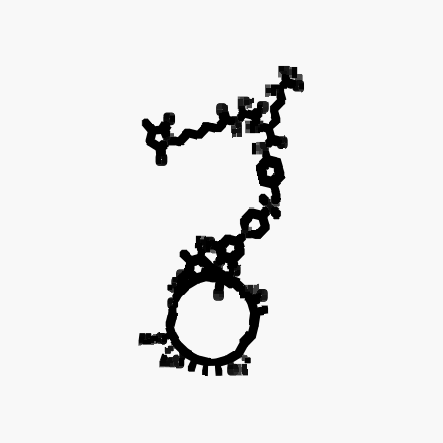 CO[C@H]1/C=C/O[C@@]2(C)Oc3c(C)c(O)c4c(=O)c(c5oc6cc(N7CCC([N+](C)(C)Cc8ccc(NC(=O)[C@H](CCCNC(N)=O)NC(=O)[C@@H](NC(=O)CCCCCN9C(=O)CC(C)C9=O)C(C)C)cc8)CC7)cc(O)c6nc-5c4c3C2=O)NC(=O)/C(C)=C\C=C\[C@H](C)[C@H](O)[C@@H](C)[C@@H](C)[C@@H](C)[C@H](OC(C)=O)[C@@H]1C